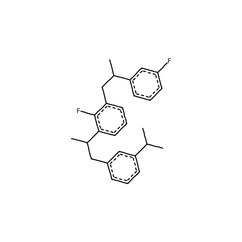 CC(C)c1cccc(CC(C)c2cccc(CC(C)c3cccc(F)c3)c2F)c1